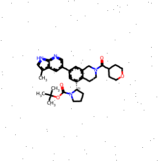 Cc1c[nH]c2ncc(-c3cc4c(c([C@@H]5CCCN5C(=O)OC(C)(C)C)c3)CCN(C(=O)C3CCOCC3)C4)cc12